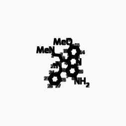 CNCCC(c1c2ccc(N)cc2nc2ccc(OC)cc12)N(C)Cc1ccccc1